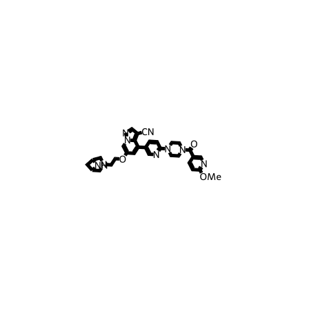 COc1ccc(C(=O)N2CCN(c3ccc(-c4cc(OCCN5CC6CC(C5)N6)cn5ncc(C#N)c45)cn3)CC2)cn1